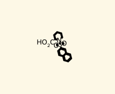 O=C(O)[C@@H]1CCCCN1S(=O)(=O)c1ccc2ccccc2c1